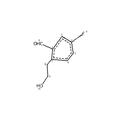 O=Cc1cc(F)ccc1CCO